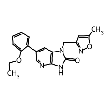 CCOc1ccccc1-c1cnc2[nH]c(=O)n(Cc3cc(C)on3)c2c1